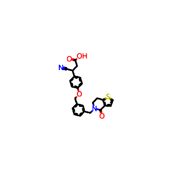 N#CC(CC(=O)O)c1ccc(OCc2cccc(CN3CCc4sccc4C3=O)c2)cc1